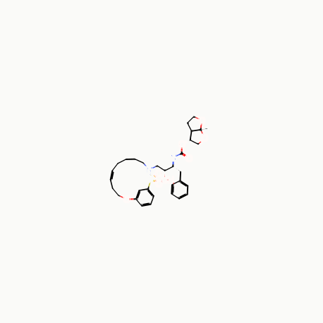 O=C(N[C@@H](Cc1ccccc1)[C@H](O)CN1CCCC/C=C\CCOc2cccc(c2)S1(=O)=O)O[C@H]1CO[C@H]2OCCC21